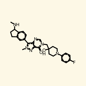 CNC1CCc2cc(-c3c4ncn(CC5(O)CCN(c6ccc(F)cc6)CC5)c(=O)c4nn3C)ccc21